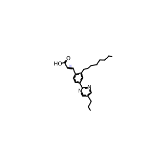 CCCCCCCCc1cc(-c2ncc(CCC)cn2)ccc1/C=C/C(=O)O